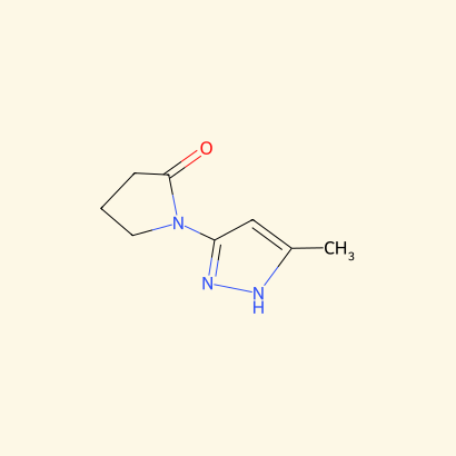 Cc1cc(N2CCCC2=O)n[nH]1